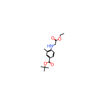 CCOC(=O)CNc1ccc(C(=O)OC(C)(C)C)cc1C